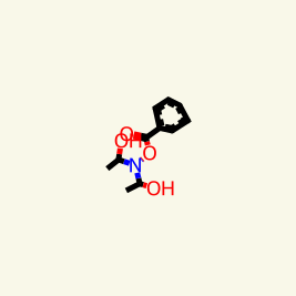 CC(O)N(OC(=O)c1ccccc1)C(C)O